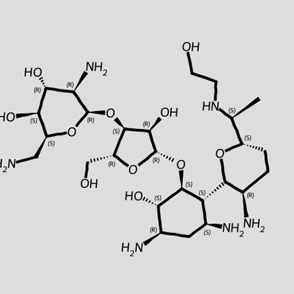 C[C@H](NCCO)[C@@H]1CC[C@@H](N)C([C@H]2[C@H](O[C@@H]3O[C@H](CO)[C@@H](O[C@H]4O[C@@H](CN)[C@@H](O)[C@H](O)[C@H]4N)[C@H]3O)[C@@H](O)[C@H](N)C[C@@H]2N)O1